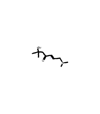 CN(C)C/C=C/C(=O)CC(C)(C)C(C)(C)C